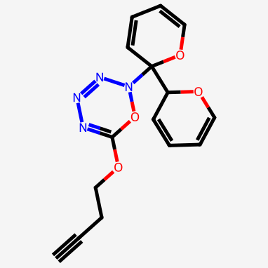 C#CCCOC1=NN=NN(C2(C3C=CC=CO3)C=CC=CO2)O1